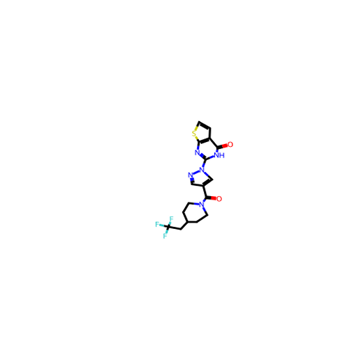 O=C(c1cnn(-c2nc3sccc3c(=O)[nH]2)c1)N1CCC(CC(F)(F)F)CC1